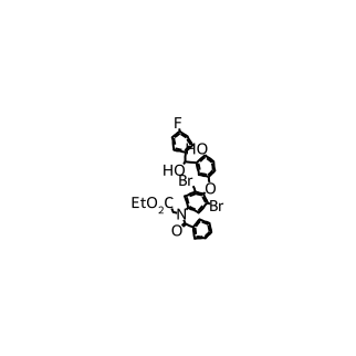 CCOC(=O)CN(C(=O)c1ccccc1)c1cc(Br)c(Oc2ccc(O)c(C(O)c3ccc(F)cc3)c2)c(Br)c1